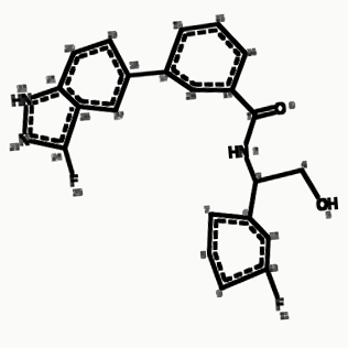 O=C(NC(CO)c1cccc(F)c1)c1cccc(-c2ccc3[nH]nc(F)c3c2)c1